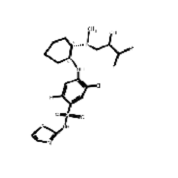 CN(CC(O)C(F)F)[C@H]1CCCC[C@@H]1Nc1cc(F)c(S(=O)(=O)Nc2nccs2)cc1Cl